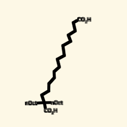 CCCCCCCCC(CCCCCCCC)(CCCCCCCCCCCCCC(=O)O)C(=O)O